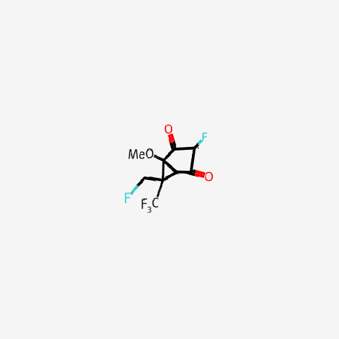 COC12C(=O)[C](F)C(=O)C1C2(CF)C(F)(F)F